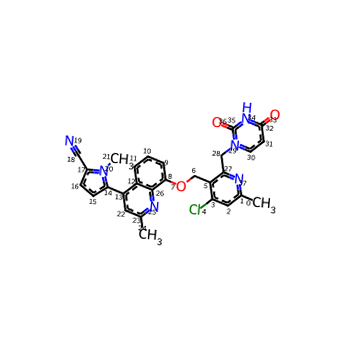 Cc1cc(Cl)c(COc2cccc3c(-c4ccc(C#N)n4C)cc(C)nc23)c(Cn2ccc(=O)[nH]c2=O)n1